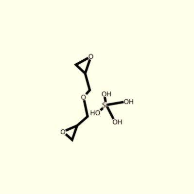 C(OCC1CO1)C1CO1.O[Si](O)(O)O